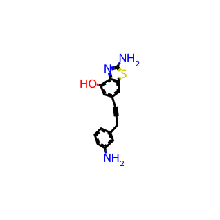 Nc1cccc(CC#Cc2cc(O)c3nc(N)sc3c2)c1